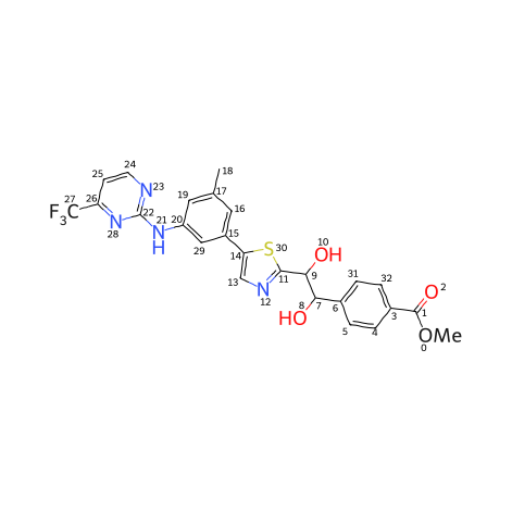 COC(=O)c1ccc(C(O)C(O)c2ncc(-c3cc(C)cc(Nc4nccc(C(F)(F)F)n4)c3)s2)cc1